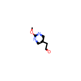 COc1ncc(CC=O)cn1